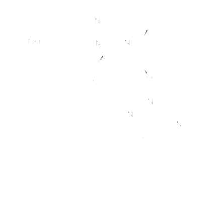 C[C@H]1C[C@@H](Oc2ccnc(COc3ccc(C4CC4)cc3C#N)n2)CCN1Cc1nc2ccc(C(=O)O)cc2n1C[C@@H]1CCO1